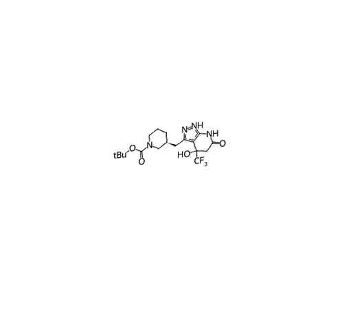 CC(C)(C)OC(=O)N1CCC[C@@H](Cc2n[nH]c3c2C(O)(C(F)(F)F)CC(=O)N3)C1